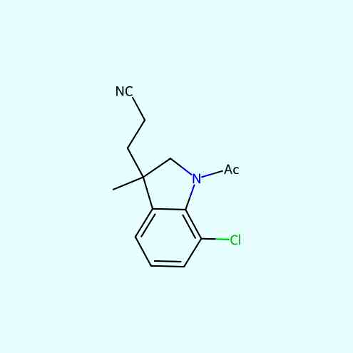 CC(=O)N1CC(C)(CCC#N)c2cccc(Cl)c21